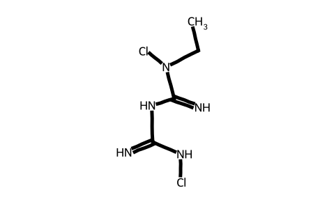 CCN(Cl)C(=N)NC(=N)NCl